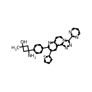 CC1(O)CC(N)(c2ccc(-c3nc4ccn5c(-c6ncccn6)nnc5c4cc3-c3cccs3)cc2)C1